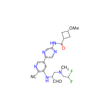 COC1CC(C(=O)Nc2cnc(-c3cnc(C#N)c(NC(C=O)CN(C)CC(F)F)c3)cn2)C1